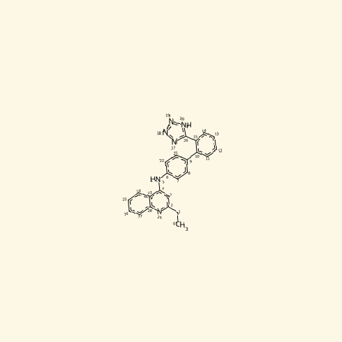 CCc1cc(Nc2ccc(-c3ccccc3-c3nnn[nH]3)cc2)c2ccccc2n1